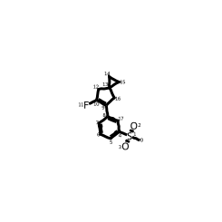 CS(=O)(=O)c1cccc(C2=C(F)CC3(CC3)C2)c1